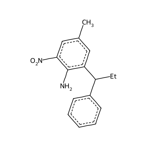 CCC(c1ccccc1)c1cc(C)cc([N+](=O)[O-])c1N